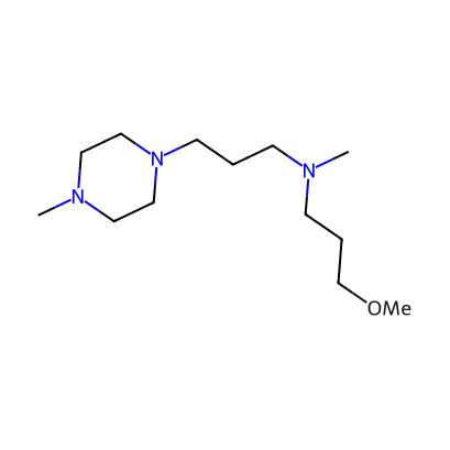 COCCCN(C)CCCN1CCN(C)CC1